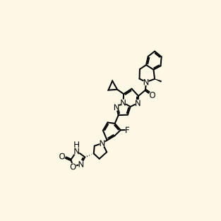 C[C@@H]1c2ccccc2CCN1C(=O)c1cc(C2CC2)n2nc(-c3ccc(N4CC[C@H](c5noc(=O)[nH]5)C4)cc3F)cc2n1